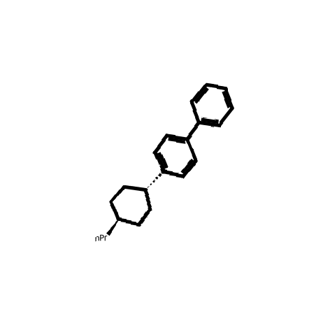 CCC[C@H]1CC[C@H](c2ccc(-c3ccccc3)cc2)CC1